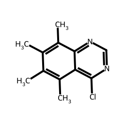 Cc1c(C)c(C)c2c(Cl)ncnc2c1C